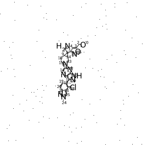 COCc1cc(C2(CN)C3CCN(c4cnc5c(-c6ccc7nn(C)cc7c6Cl)n[nH]c5n4)CC32)no1